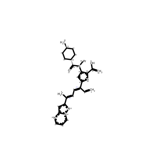 C=C/C(=C\C=C(/C)c1cc2ncccn2n1)c1cc(N(C(=O)[C@H]2CC[C@H](C)CC2)C(C)C)c(C(=C)O)s1